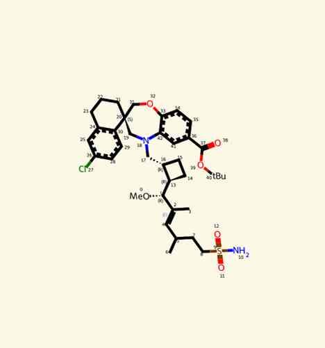 CO[C@@H](/C(C)=C/C(C)CCS(N)(=O)=O)[C@@H]1CC[C@H]1CN1C[C@@]2(CCCc3cc(Cl)ccc32)COc2ccc(C(=O)OC(C)(C)C)cc21